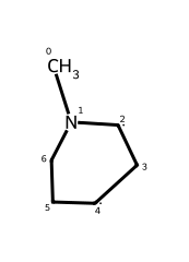 CN1[CH]C[CH]CC1